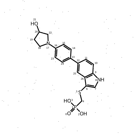 O=P(O)(O)CSc1c[nH]c2ccc(-c3ccc(N4CCC(O)C4)cc3)cc12